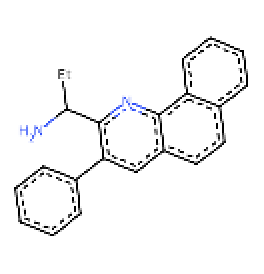 CCC(N)c1nc2c(ccc3ccccc32)cc1-c1ccccc1